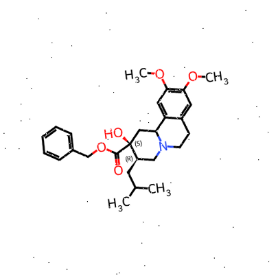 COc1cc2c(cc1OC)C1C[C@@](O)(C(=O)OCc3ccccc3)[C@H](CC(C)C)CN1CC2